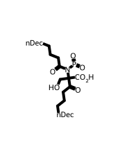 CCCCCCCCCCCCCC(=O)N(P(=O)=O)C(CO)(C(=O)O)C(=O)CCCCCCCCCCCCC